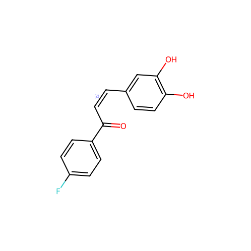 O=C(/C=C\c1ccc(O)c(O)c1)c1ccc(F)cc1